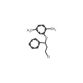 Cc1ccc(C)c(OC(CCCl)c2ccccc2)c1